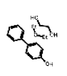 CCOCC.OCCO.Oc1ccc(-c2ccccc2)cc1